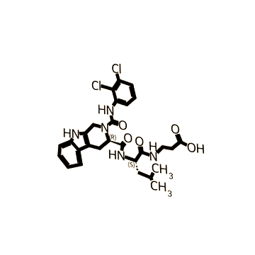 CC(C)C[C@H](NC(=O)[C@H]1Cc2c([nH]c3ccccc23)CN1C(=O)Nc1cccc(Cl)c1Cl)C(=O)NCCC(=O)O